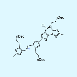 CCCCCCCCCCCCc1cc(C)sc1/C=C/c1sc(-c2cc3c(=O)n(CCCCCCCCCCCC)c4cc(C)sc4c3s2)cc1CCCCCCCCCCCC